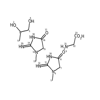 CC(O)CO.CN1CC(=O)NC1=N.CN1CC(=O)NC1=N.NCC(=O)O